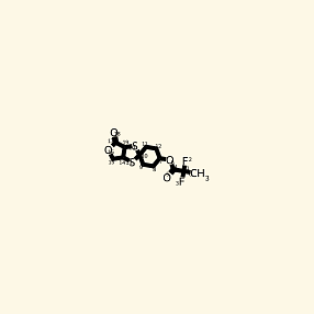 CC(F)(F)C(=O)OC1CCC2(CC1)SC1COC(=O)C1S2